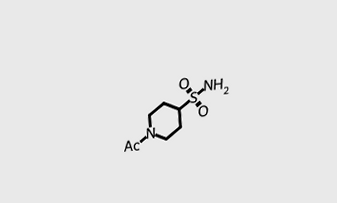 CC(=O)N1CCC(S(N)(=O)=O)CC1